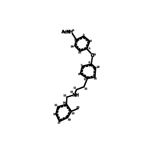 CC(=O)Nc1ccc(Oc2ccc(CCNCc3ccccc3C)cc2)cc1